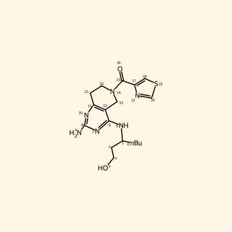 CCCCC(CCO)Nc1nc(N)nc2c1CN(C(=O)c1cscn1)CC2